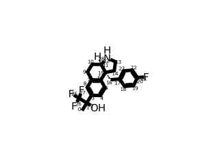 CC(O)(c1ccc2c(c1)CC[C@H]1NCC[C@@]21Cc1ccc(F)cc1)C(F)(F)F